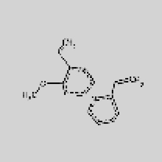 C=Cc1ccccc1OC.C=Cc1ccccn1